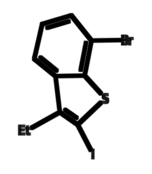 CCc1c(I)sc2c(Br)cccc12